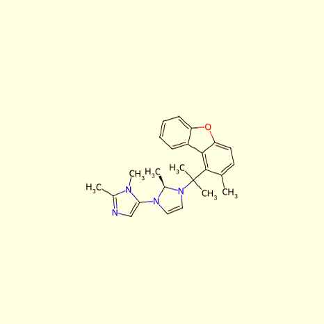 Cc1ccc2oc3ccccc3c2c1C(C)(C)N1C=CN(c2cnc(C)n2C)[C@H]1C